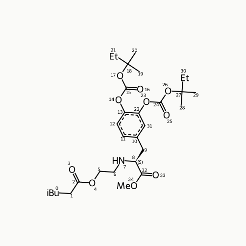 CCC(C)CC(=O)OCCN[C@@H](Cc1ccc(OC(=O)OC(C)(C)CC)c(OC(=O)OC(C)(C)CC)c1)C(=O)OC